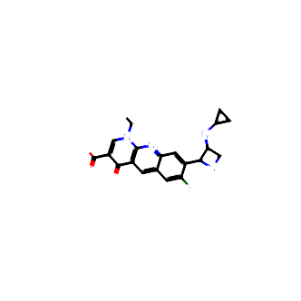 CCn1cc(C(=O)O)c(=O)c2cc3cc(F)c(C4NCC4NC4CC4)cc3nc21